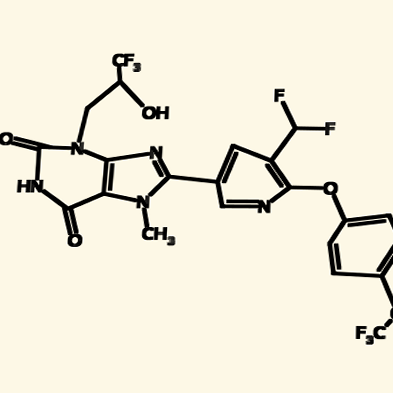 Cn1c(-c2cnc(Oc3ccc(OC(F)(F)F)cc3)c(C(F)F)c2)nc2c1c(=O)[nH]c(=O)n2CC(O)C(F)(F)F